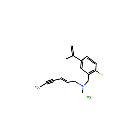 C=C(C)c1ccc(F)c(CN(C)CC=CC#CC(C)(C)C)c1.Cl